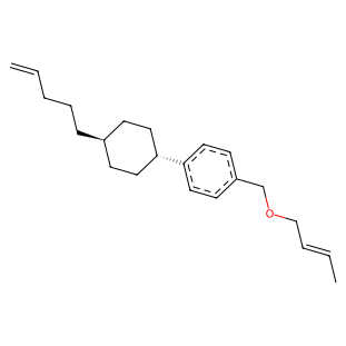 C=CCCC[C@H]1CC[C@H](c2ccc(COCC=CC)cc2)CC1